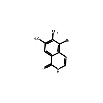 Cc1cc2c(=O)[nH]cnc2c(Br)c1C